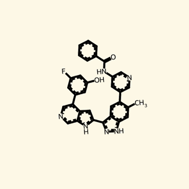 Cc1cc2[nH]nc(-c3cc4c(-c5cc(O)cc(F)c5)cncc4[nH]3)c2cc1-c1cncc(NC(=O)c2ccccc2)c1